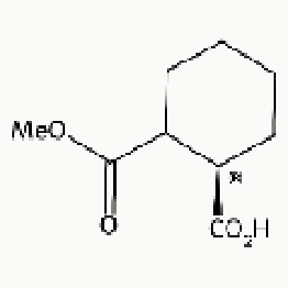 COC(=O)C1CCCC[C@H]1C(=O)O